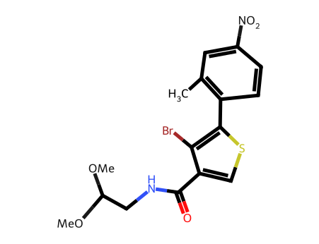 COC(CNC(=O)c1csc(-c2ccc([N+](=O)[O-])cc2C)c1Br)OC